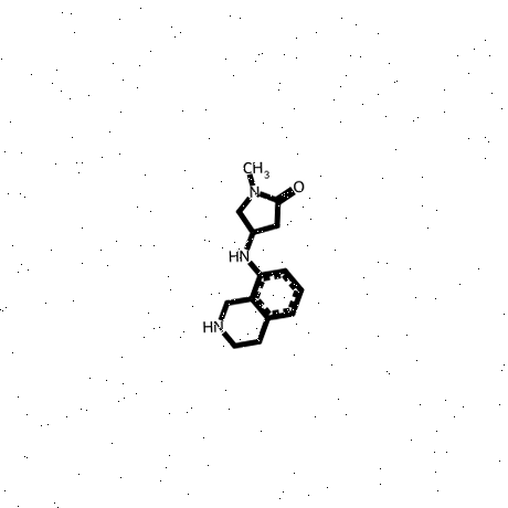 CN1CC(Nc2cccc3c2CNCC3)CC1=O